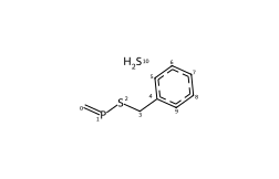 C=PSCc1ccccc1.S